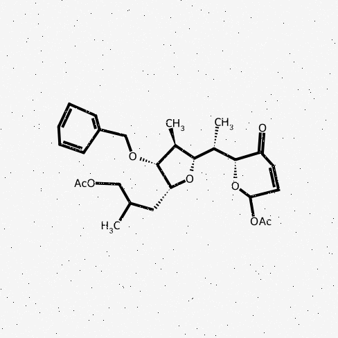 CC(=O)OCC(C)C[C@H]1O[C@@H]([C@H](C)[C@H]2OC(OC(C)=O)C=CC2=O)[C@H](C)[C@H]1OCc1ccccc1